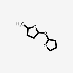 CC1CCC(OC2CCCO2)O1